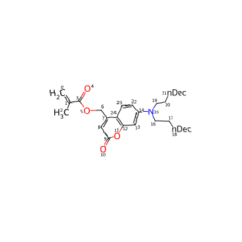 C=C(C)C(=O)OCc1cc(=O)oc2cc(N(CCCCCCCCCCCC)CCCCCCCCCCCC)ccc12